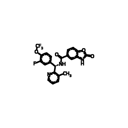 Cc1cccnc1[C@@H](NC(=O)c1ccc2oc(=O)[nH]c2c1)c1ccc(OC(F)(F)F)c(F)c1